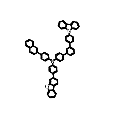 c1cc(-c2ccc(N(c3ccc(-c4ccc5ccccc5c4)cc3)c3ccc(-c4ccc5c(c4)oc4ccccc45)cc3)cc2)cc(-c2ccc(-n3c4ccccc4c4ccccc43)cc2)c1